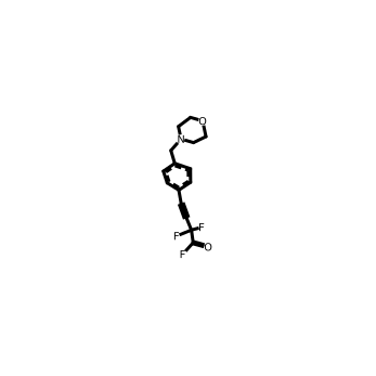 O=C(F)C(F)(F)C#Cc1ccc(CN2CCOCC2)cc1